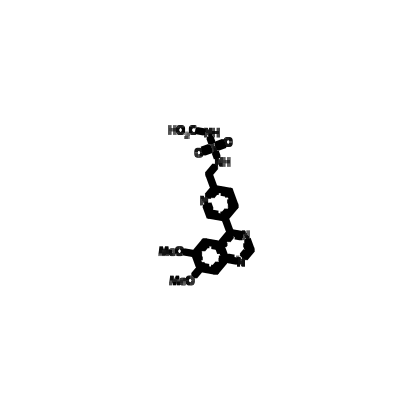 COc1cc2ncnc(-c3ccc(CNS(=O)(=O)NC(=O)O)nc3)c2cc1OC